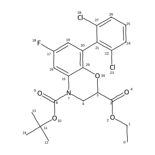 CCOC(=O)C1CN(C(=O)OC(C)(C)C)c2cc(F)cc(-c3c(Cl)cccc3Cl)c2O1